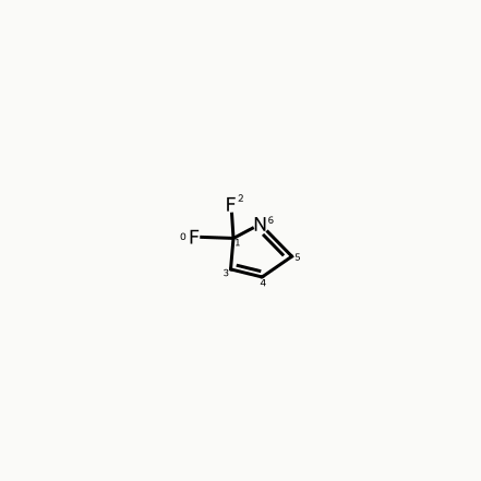 FC1(F)C=CC=N1